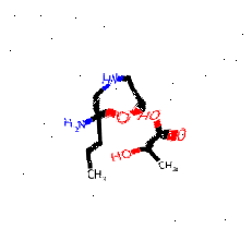 CC(O)C(=O)O.CCCC1(N)CNCCO1